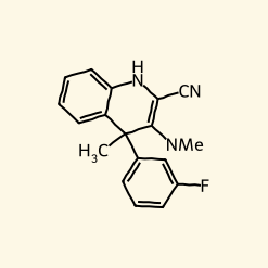 CNC1=C(C#N)Nc2ccccc2C1(C)c1cccc(F)c1